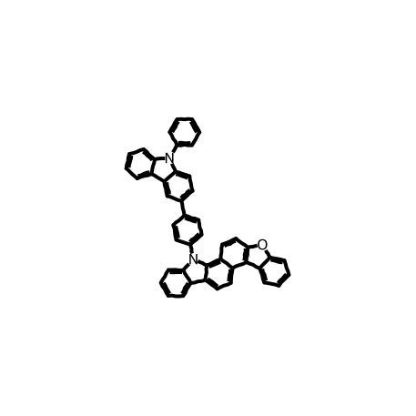 c1ccc(-n2c3ccccc3c3cc(-c4ccc(-n5c6ccccc6c6ccc7c(ccc8oc9ccccc9c87)c65)cc4)ccc32)cc1